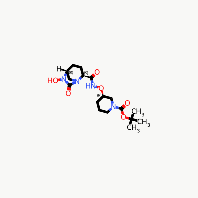 CC(C)(C)OC(=O)N1CCC[C@@H](ONC(=O)[C@@H]2CC[C@@H]3CN2C(=O)N3O)C1